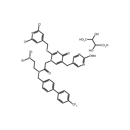 CCN(CC)CCN(Cc1ccc(-c2ccc(C(F)(F)F)cc2)cc1)C(=O)Cn1cc(Cc2cnc(OC)nc2)c(=O)nc1SCc1cc(Cl)nc(Cl)c1.O=C(O)C(O)C(O)C(=O)O